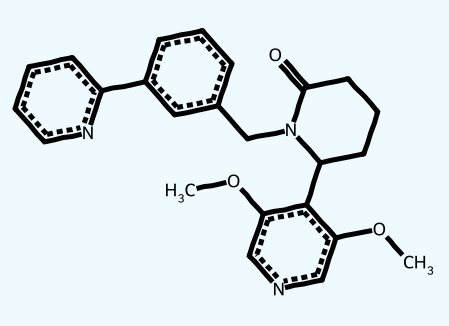 COc1cncc(OC)c1C1CCCC(=O)N1Cc1cccc(-c2ccccn2)c1